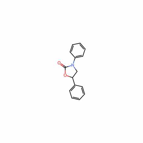 O=C1OC(c2ccccc2)CN1c1ccccc1